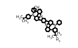 CCCc1cccc2c1c1c(N(c3ccccc3)c3ccc(C(C)C)cc3)ccc3c4cc5c(cc4n2c31)c1ccc(N(c2ccccc2)c2ccc(C(C)C)cc2)c2c3c(CCC)cccc3n5c12